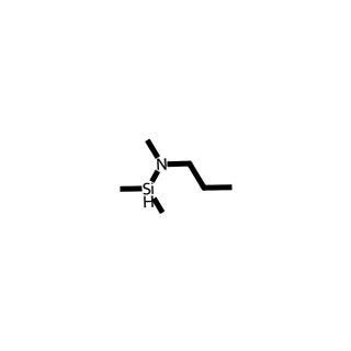 CCCN(C)[SiH](C)C